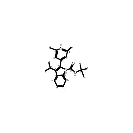 Cc1cc(-c2c(C(C)C)c3ccccc3n2C(=O)OC(C)(C)C)cc(C)n1